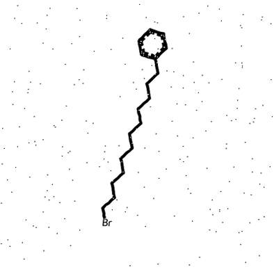 BrCCCCCCCCCCCCc1ccccc1